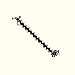 O=P(O)(O)OCCCCCCCCCCCCCCCCCCCCCCCCCNC(=S)S